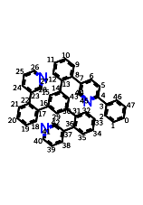 c1ccc(-c2ccc(-c3ccccc3-c3cc(-c4ccccc4-c4cccnc4)cc(-c4ccccc4-c4cccnc4)c3)cn2)cc1